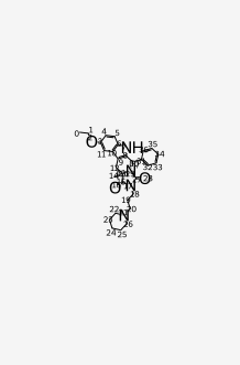 CCOc1ccc2[nH]c3c(c2c1)C[C@@]1(C)C(=O)N(CCCN2CCCCC2)C(=O)N1[C@@H]3c1ccccc1